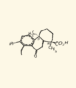 CC(C)c1ccc2c(c1I)C(=O)CC1[C@](C)(C(=O)O)CCC[C@]21C